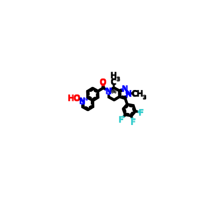 C[C@H]1c2nn(C)c(-c3cc(F)c(F)c(F)c3)c2CCN1C(=O)c1ccc2c(ccc[n+]2O)c1